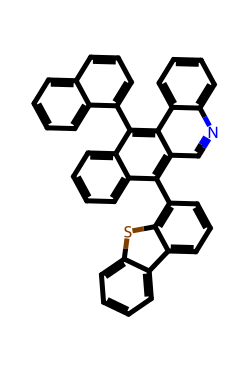 c1ccc2c(-c3c4ccccc4c(-c4cccc5c4sc4ccccc45)c4cnc5ccccc5c34)cccc2c1